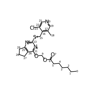 CCCCCCC(=O)OCOc1nc(SCc2c(C)cncc2Cl)nc2c1CCC2